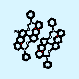 [Pd].c1ccc(P(COc2ccc3ccccc3c2-c2c(OCP(c3ccccc3)c3ccccc3)ccc3ccccc23)c2ccccc2)cc1.c1ccc(P(COc2ccc3ccccc3c2-c2c(OCP(c3ccccc3)c3ccccc3)ccc3ccccc23)c2ccccc2)cc1